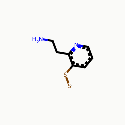 NCCc1ncccc1S[S]